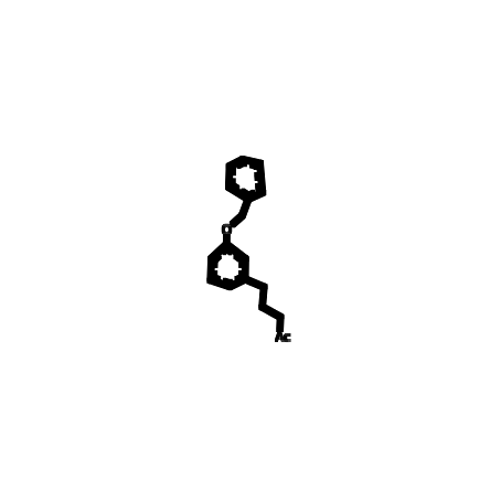 CC(=O)CCCc1cccc(OCc2ccccc2)c1